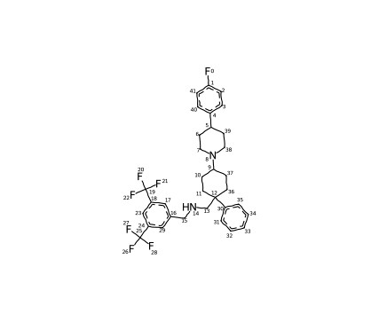 Fc1ccc(C2CCN(C3CCC(CNCc4cc(C(F)(F)F)cc(C(F)(F)F)c4)(c4ccccc4)CC3)CC2)cc1